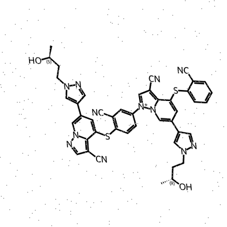 C[C@H](O)CCn1cc(-c2cc(Sc3ccc(-[n+]4cc(C#N)c5c(Sc6ccccc6C#N)cc(-c6cnn(CC[C@@H](C)O)c6)cn54)cc3C#N)c3c(C#N)cnn3c2)cn1